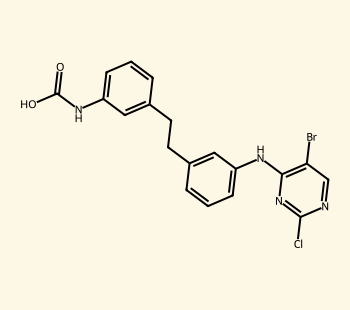 O=C(O)Nc1cccc(CCc2cccc(Nc3nc(Cl)ncc3Br)c2)c1